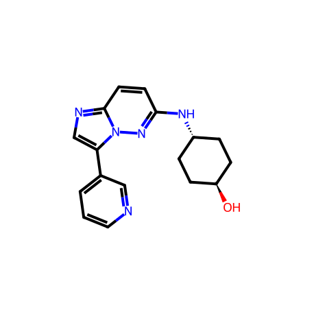 O[C@H]1CC[C@H](Nc2ccc3ncc(-c4cccnc4)n3n2)CC1